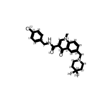 Cn1cc(C(=O)NCc2ccc(Cl)cc2)c(=O)c2cc(CN3CCC(F)(F)CC3)ccc21